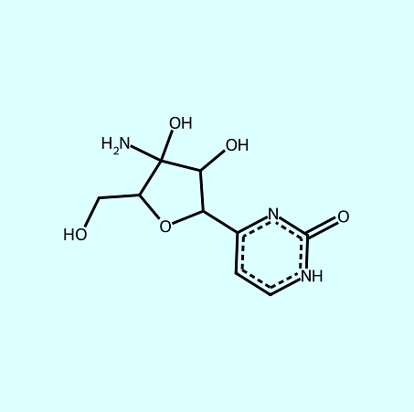 NC1(O)C(CO)OC(c2cc[nH]c(=O)n2)C1O